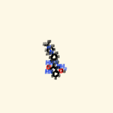 COc1cccc2[nH]c(=O)c(-c3nc4ccc(N5CCN(C(C)C)CC5)cc4[nH]3)c(N)c12